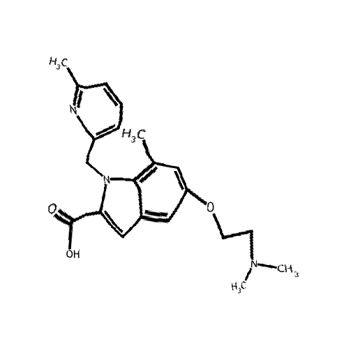 Cc1cccc(Cn2c(C(=O)O)cc3cc(OCCN(C)C)cc(C)c32)n1